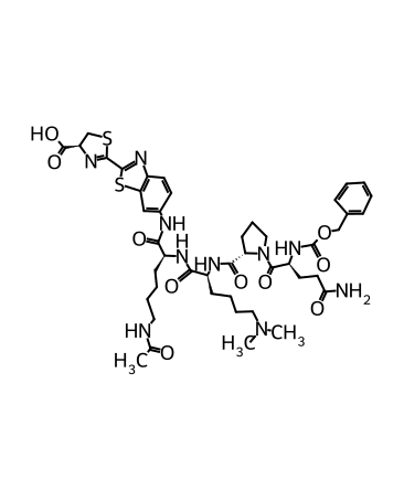 CC(=O)NCCCC[C@H](NC(=O)[C@H](CCCCN(C)C)NC(=O)[C@@H]1CCCN1C(=O)[C@H](CCC(N)=O)NC(=O)OCc1ccccc1)C(=O)Nc1ccc2nc(C3=N[C@@H](C(=O)O)CS3)sc2c1